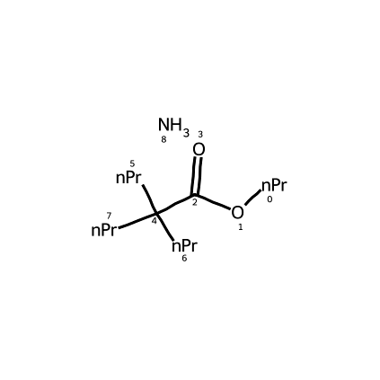 CCCOC(=O)C(CCC)(CCC)CCC.N